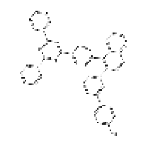 N#Cc1ccc(-c2cccc(-c3ccc4ccccc4c3-c3ccc(-c4nc(-c5ccccc5)nc(-c5ccccc5)n4)cc3)c2)cc1